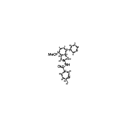 COc1ccc(-c2ccccc2)c2sc(NC(=O)c3ccc(C)nc3)cc12